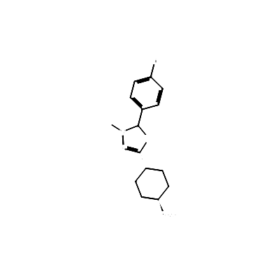 CN[C@H]1CC[C@H](C2=NN(C)C(c3ccc(C(C)C)cc3)O2)CC1